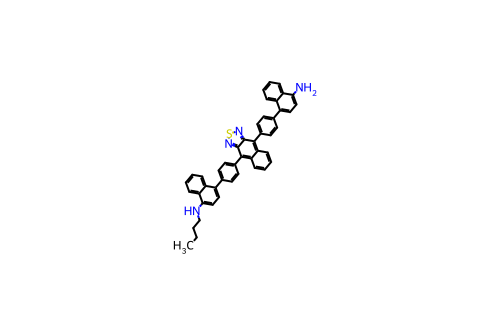 CCCCNc1ccc(-c2ccc(-c3c4ccccc4c(-c4ccc(-c5ccc(N)c6ccccc56)cc4)c4nsnc34)cc2)c2ccccc12